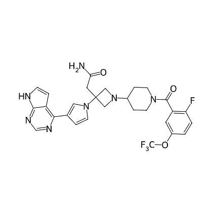 NC(=O)CC1(n2ccc(-c3ncnc4[nH]ccc34)c2)CN(C2CCN(C(=O)c3cc(OC(F)(F)F)ccc3F)CC2)C1